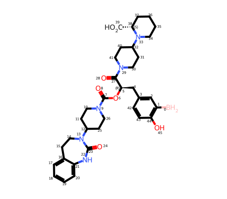 Bc1cc(C[C@@H](OC(=O)N2CCC(N3CCc4ccccc4NC3=O)CC2)C(=O)N2CCC(N3CCCC[C@H]3C(=O)O)CC2)ccc1O